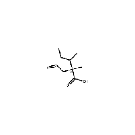 C=CC[C@@](C)(C(=O)O)C(C)CC